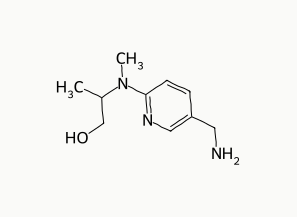 CC(CO)N(C)c1ccc(CN)cn1